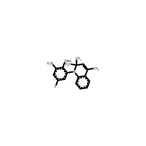 COc1c(N2c3ccccc3C(C)=CC2(C)C)cc(F)cc1[N+](=O)[O-]